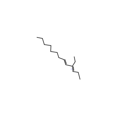 CC/[C]=C(/C=CCCCCCCC)CC